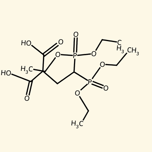 CCOP(=O)(OCC)C(CC(C(=O)O)C(=O)O)P(=O)(OCC)OCC